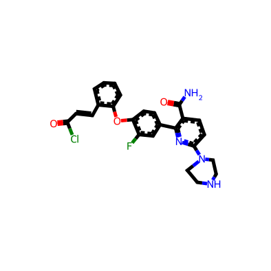 NC(=O)c1ccc(N2CCNCC2)nc1-c1ccc(Oc2ccccc2/C=C/C(=O)Cl)c(F)c1